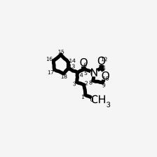 CCCCC(C(=O)N1CCOC1=O)C1CCCCC1